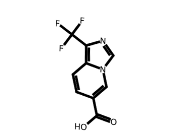 O=C(O)c1ccc2c(C(F)(F)F)ncn2c1